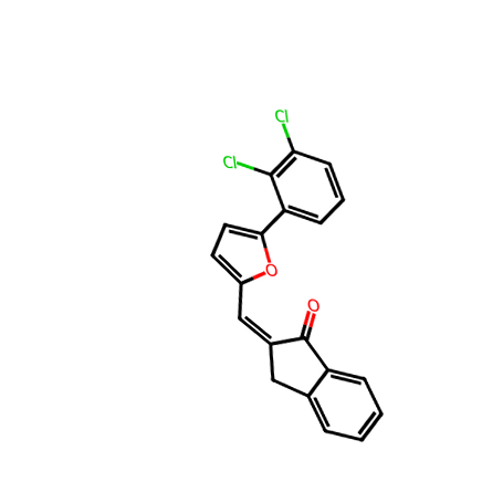 O=C1C(=Cc2ccc(-c3cccc(Cl)c3Cl)o2)Cc2ccccc21